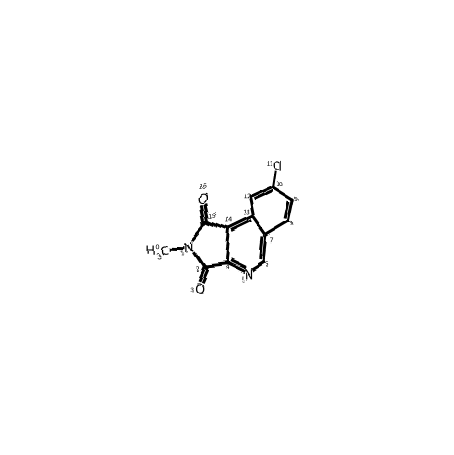 CN1C(=O)c2ncc3ccc(Cl)cc3c2C1=O